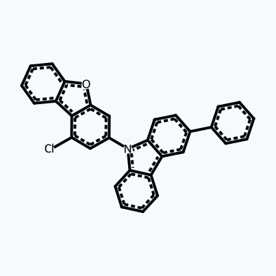 Clc1cc(-n2c3ccccc3c3cc(-c4ccccc4)ccc32)cc2oc3ccccc3c12